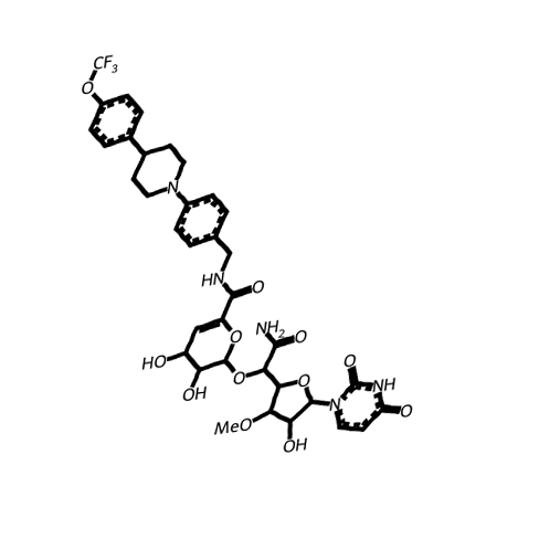 COC1C(O)C(n2ccc(=O)[nH]c2=O)OC1C(OC1OC(C(=O)NCc2ccc(N3CCC(c4ccc(OC(F)(F)F)cc4)CC3)cc2)=CC(O)C1O)C(N)=O